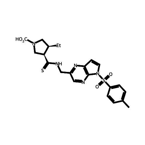 CC[C@@H]1CN(C(=O)O)C[C@@H]1C(=S)NCc1cnc2c(ccn2S(=O)(=O)c2ccc(C)cc2)n1